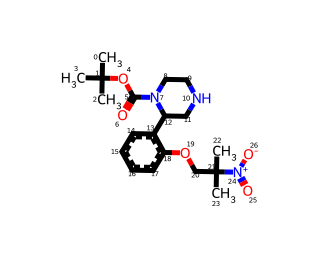 CC(C)(C)OC(=O)N1CCNCC1c1ccccc1OCC(C)(C)[N+](=O)[O-]